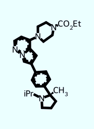 CCOC(=O)N1CCN(c2ccnn3cc(-c4ccc([C@]5(C)CCCN5C(C)C)cc4)cc23)CC1